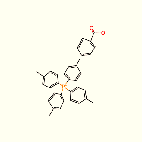 Cc1ccc([P+](c2ccc(C)cc2)(c2ccc(C)cc2)c2ccc(C)cc2)cc1.O=C([O-])c1ccccc1